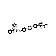 CC[C@@H](C)n1ncn(-c2ccc(N3CCN(c4ccc(OC[C@@H]5COC(Cn6nccn6)(c6ccccc6)O5)cc4)CC3)cc2)c1=O